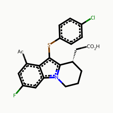 CC(=O)c1cc(F)cc2c1c(Sc1ccc(Cl)cc1)c1n2CCC[C@H]1CC(=O)O